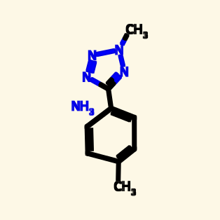 Cc1ccc(-c2nnn(C)n2)cc1.N